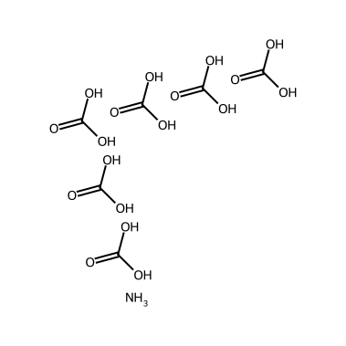 N.O=C(O)O.O=C(O)O.O=C(O)O.O=C(O)O.O=C(O)O.O=C(O)O